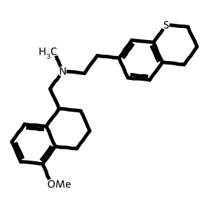 COc1cccc2c1CCCC2CN(C)CCc1ccc2c(c1)SCCC2